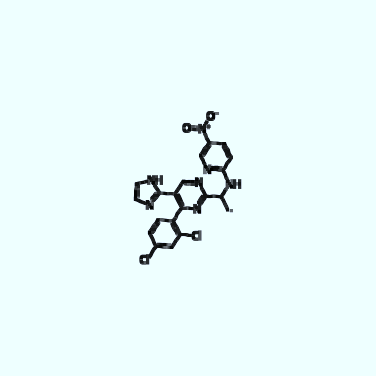 [CH2]C(Nc1ccc([N+](=O)[O-])cn1)c1ncc(-c2ncc[nH]2)c(-c2ccc(Cl)cc2Cl)n1